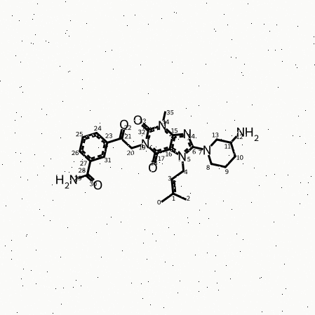 CC(C)=CCn1c(N2CCCC(N)C2)nc2c1c(=O)n(CC(=O)c1cccc(C(N)=O)c1)c(=O)n2C